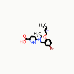 C/C=C/COc1ccc(Br)cc1CN(CC)c1ccc(C(=O)O)nn1